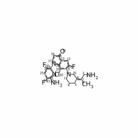 CC(CN)=C1CCCN(c2c(F)cc3c(=O)ccn(-c4nc(N)c(F)cc4F)c3c2Cl)C1